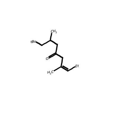 CCC=C(C)CC(=O)CC(C)CC(C)(C)C